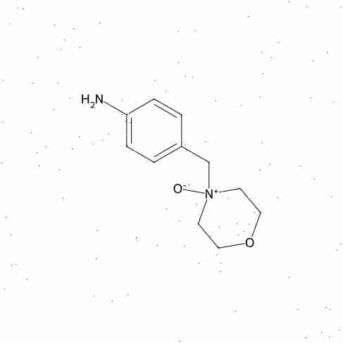 Nc1ccc(C[N+]2([O-])CCOCC2)cc1